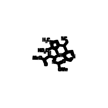 COC(=O)N=C(NC(=O)OC)Nc1c(C(CC#N)c2cccnc2)cn(C)c1C(=O)O